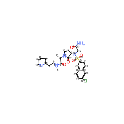 C[C@@H](C(=O)N(C)CCc1ccccn1)N1CC[C@H](N(CC(N)=O)S(=O)(=O)c2ccc3cc(Cl)ccc3c2)C1=O